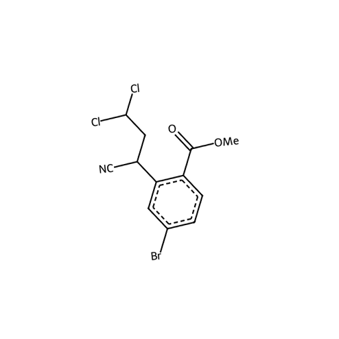 COC(=O)c1ccc(Br)cc1C(C#N)CC(Cl)Cl